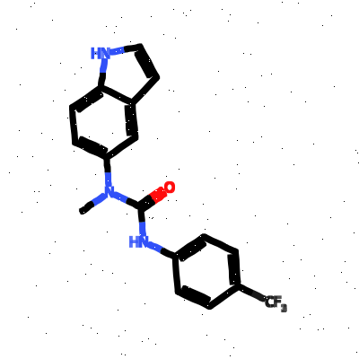 CN(C(=O)Nc1ccc(C(F)(F)F)cc1)c1ccc2[nH]ccc2c1